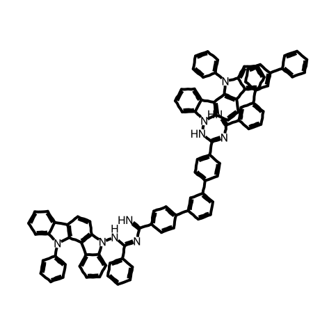 N=C(/N=C(\Nn1c2ccccc2c2c1ccc1c3ccccc3n(-c3ccccc3)c12)c1ccccc1)c1ccc(-c2cccc(-c3ccc(/C(=N/C(=N)c4cccc(C5C=C(c6ccccc6)C=CC5)c4)Nn4c5ccccc5c5c4ccc4c6ccccc6n(-c6ccccc6)c45)cc3)c2)cc1